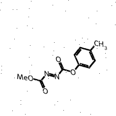 COC(=O)N=NC(=O)Oc1ccc(C)cc1